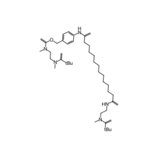 C=C(CCCCCCCCCCCCC(=C)Nc1ccc(COC(=C)N(C)CCN(C)C(=C)C(C)(C)C)cc1)NCCN(C)C(=C)C(C)(C)C